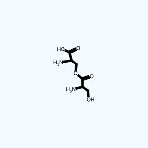 NC(COC(=O)C(N)CO)C(=O)O